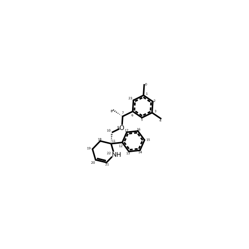 Cc1cc(C)cc([C@@H](C)OC[C@@]2(c3ccccc3)CCC=CN2)c1